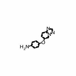 Nc1ccc(Oc2ccc3ncnn3c2)cc1